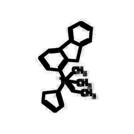 C[CH]=[Ti]([CH3])([CH3])([C]1=CC=CC1)[c]1cccc2c1Cc1ccccc1-2